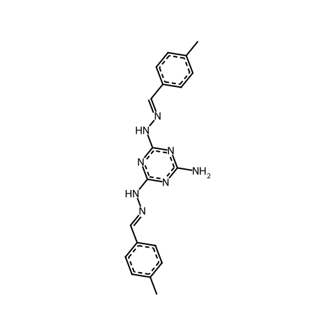 Cc1ccc(C=NNc2nc(N)nc(NN=Cc3ccc(C)cc3)n2)cc1